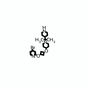 CC(C)(C1CCNCC1)N1CCC(O[C@H]2C[C@H](Oc3cc(Br)ccn3)C2)CC1